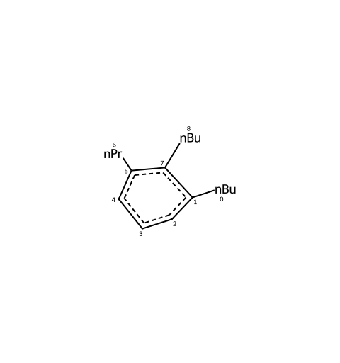 CCCCc1cccc(CCC)c1CCCC